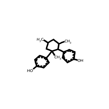 CC1CC(C)C(c2ccc(O)cc2)C(C)(c2ccc(O)cc2)C1